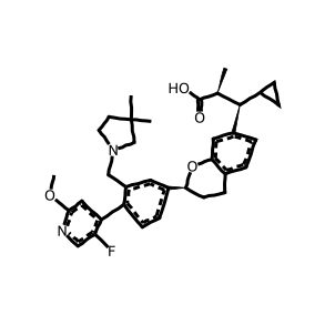 COc1cc(-c2ccc([C@@H]3CCc4ccc([C@H](C5CC5)[C@H](C)C(=O)O)cc4O3)cc2CN2CCC(C)(C)C2)c(F)cn1